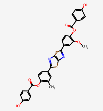 COc1cc(-c2nc3sc(-c4ccc(OC(=O)c5ccc(O)cc5)c(C)c4)nc3s2)ccc1OC(=O)c1ccc(O)cc1